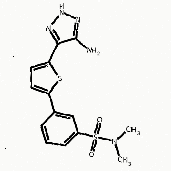 CN(C)S(=O)(=O)c1cccc(-c2ccc(-c3n[nH]nc3N)s2)c1